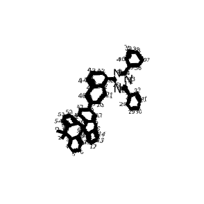 CC1(C)c2ccccc2C2(c3ccccc3-c3cc(-c4ccc5c(-c6nc(-c7ccccc7)nc(-c7ccccc7)n6)cccc5c4)ccc32)c2ccccc21